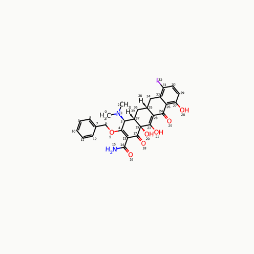 CN(C)[C@@H]1C(OCc2ccccc2)=C(C(N)=O)C(=O)[C@@]2(O)C(O)=C3C(=O)c4c(O)ccc(I)c4C[C@H]3C[C@@H]12